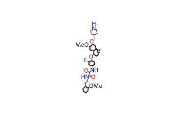 COc1ccccc1CCNC(=O)C(=O)Nc1ccc(Oc2ccbc3cc(OCC4CCNCC4)c(OC)cc23)c(F)c1